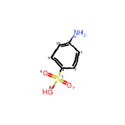 Nc1c[c]c(S(=O)(=O)O)cc1